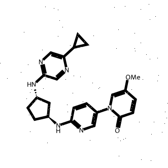 COc1ccc(=O)n(-c2ccc(N[C@H]3CC[C@H](Nc4cnc(C5CC5)cn4)C3)nc2)c1